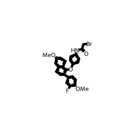 COc1ccc2c(Oc3ccc(NC(=O)CBr)cc3)c(-c3ccc(OC)c(F)c3)ccc2c1